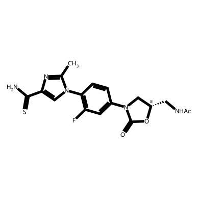 CC(=O)NC[C@H]1CN(c2ccc(-n3cc(C(N)=S)nc3C)c(F)c2)C(=O)O1